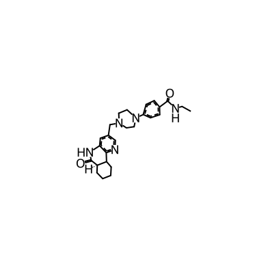 CCNC(=O)c1ccc(N2CCN(Cc3cnc4c(c3)NC(=O)[C@@H]3CCCCC43)CC2)cc1